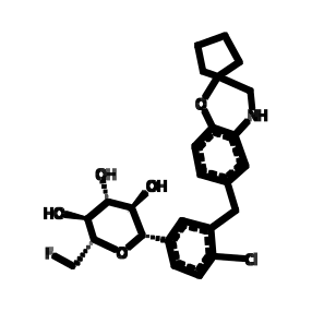 O[C@@H]1[C@@H](O)[C@H](c2ccc(Cl)c(Cc3ccc4c(c3)NCC3(CCCC3)O4)c2)O[C@H](CF)[C@H]1O